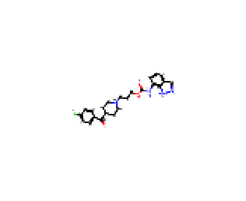 O=C(Nc1cccc2cn[nH]c12)OCCCN1CCC(C(=O)c2ccc(Cl)cc2)CC1